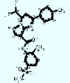 Cc1ccc(S(N)(=O)=O)cc1NC(=O)c1cnn2c(C(F)F)cc(-c3ccc(C(F)(F)F)cc3)nc12